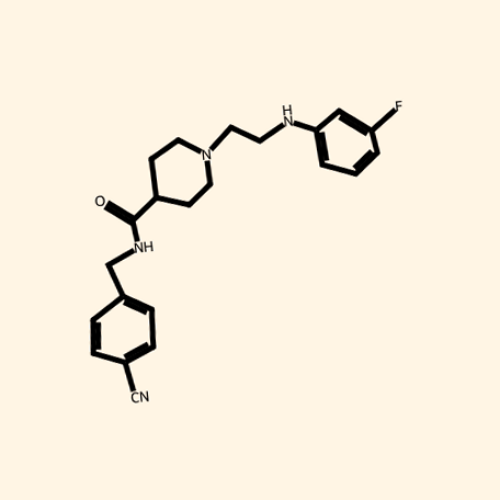 N#Cc1ccc(CNC(=O)C2CCN(CCNc3cccc(F)c3)CC2)cc1